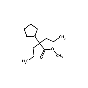 CCCC(CCC)(C(=O)OC)N1CCCC1